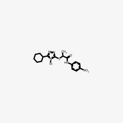 CCn1c(SC(C)C(=O)Nc2ccc([N+](=O)[O-])cc2)nnc1C1CCCCC1